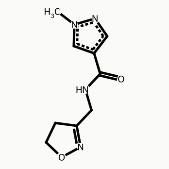 Cn1cc(C(=O)NCC2=NOCC2)cn1